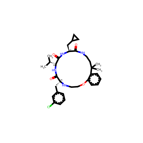 CC(C)[C@H]1NC(=O)[C@@H](Cc2cccc(Cl)c2)NCCOc2ccccc2C(C)(C)CCNC(=O)[C@H](CC2CC2)NC1=O